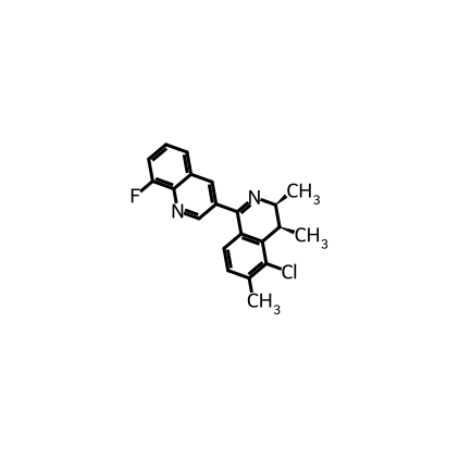 Cc1ccc2c(c1Cl)[C@H](C)[C@H](C)N=C2c1cnc2c(F)cccc2c1